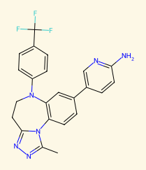 Cc1nnc2n1-c1ccc(-c3ccc(N)nc3)cc1N(c1ccc(C(F)(F)F)cc1)CC2